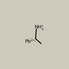 CC[NH3+].[Pb+2]